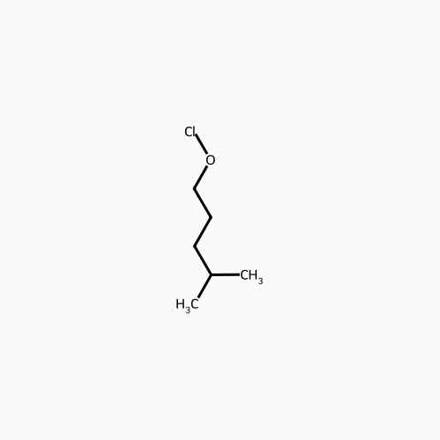 CC(C)CCCOCl